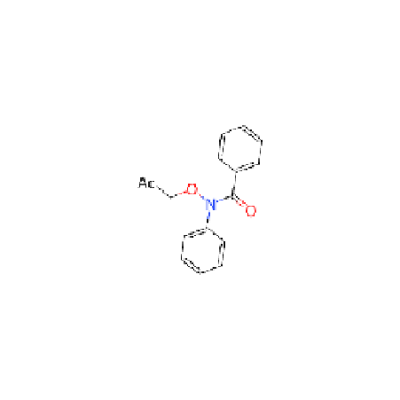 CC(=O)CON(C(=O)c1ccccc1)c1ccccc1